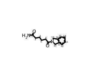 NC(=O)CCCCC(=O)N1Cc2ccccc2C1